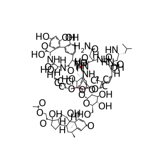 CC(=O)OCC(=O)[C@@]1(O)CC[C@H]2[C@@H]3C[C@H](C)C4=CC(=O)C=C[C@]4(C)[C@H]3[C@@H](O)C[C@@]21C.CN[C@H](CC(C)C)C(=O)N[C@H]1C(=O)N[C@@H](CC(N)=O)C(=O)N[C@H]2C(=O)N[C@H]3C(=O)N[C@H](C(=O)N[C@@H](C(=O)O)c4cc(O)cc(O)c4-c4cc3ccc4O)[C@H](O)c3ccc(c(Cl)c3)Oc3cc2cc(c3O[C@@H]2O[C@H](CO)[C@@H](O)[C@H](O)[C@H]2O[C@H]2C[C@](C)(N)C(O)[C@H](C)O2)Oc2ccc(cc2Cl)[C@H]1O